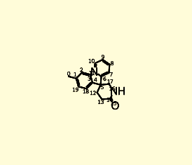 Cc1ccc(C2(c3ccccn3)CCC(=O)NC2)cc1